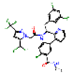 CNC(=O)c1cc(-c2cccnc2[C@H](Cc2cc(F)cc(F)c2)NC(=O)Cn2nc(C(F)(F)F)cc2C(F)F)ccc1F